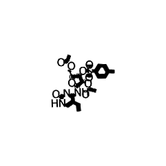 C=Cc1c[nH]c(=O)nc1N[C@@H]1O[C@H](COC(C)=O)[C@H](OS(=O)(=O)c2ccc(C)cc2)[C@H]1OC(C)=O